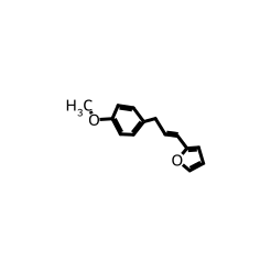 COc1ccc(CC=Cc2ccco2)cc1